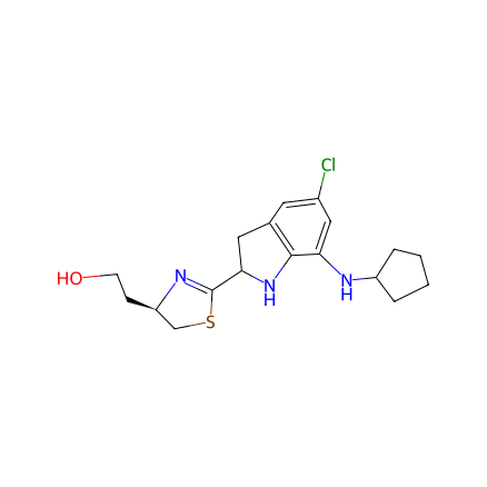 OCC[C@@H]1CSC(C2Cc3cc(Cl)cc(NC4CCCC4)c3N2)=N1